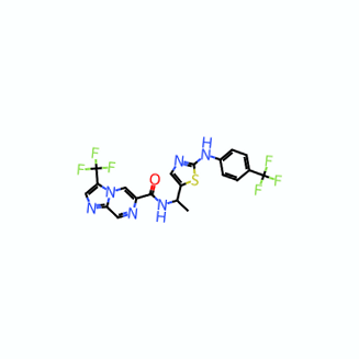 CC(NC(=O)c1cn2c(C(F)(F)F)cnc2cn1)c1cnc(Nc2ccc(C(F)(F)F)cc2)s1